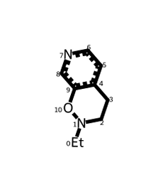 CCN1CCc2ccncc2O1